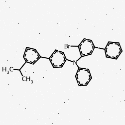 CC(C)c1cccc(-c2ccc(N(c3ccccc3)c3cc(-c4ccccc4)ccc3Br)cc2)c1